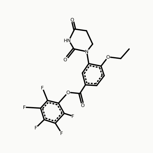 CCOc1ccc(C(=O)Oc2c(F)c(F)c(F)c(F)c2F)cc1N1CCC(=O)NC1=O